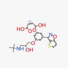 CC(C)(C)NCC(O)COc1cccc(-c2noc3ccsc23)c1.O=C(O)/C=C\C(=O)O